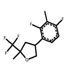 Cc1c(F)ccc(C2COC(C)(C(F)(F)F)C2)c1F